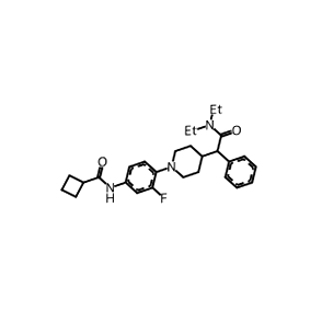 CCN(CC)C(=O)C(c1ccccc1)C1CCN(c2ccc(NC(=O)C3CCC3)cc2F)CC1